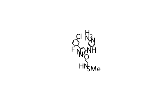 CSNCCOc1nnc(-c2cc(Cl)ccc2F)cc1Nc1ccnc(N)c1